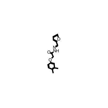 Cc1ccc(OCC(=O)N/N=C/c2ccco2)cc1C